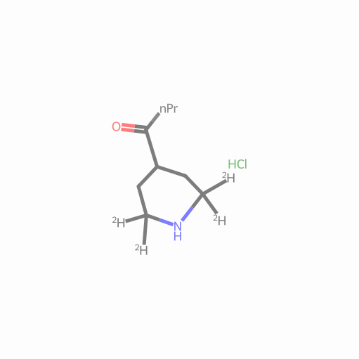 Cl.[2H]C1([2H])CC(C(=O)CCC)CC([2H])([2H])N1